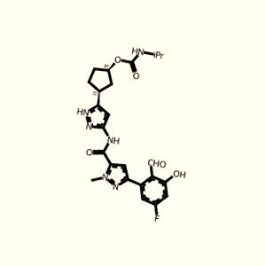 CC(C)NC(=O)O[C@@H]1CC[C@H](c2cc(NC(=O)c3cc(-c4cc(F)cc(O)c4C=O)nn3C)n[nH]2)C1